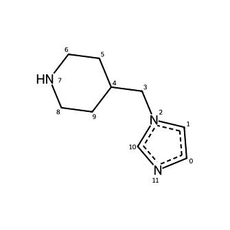 c1cn(CC2CCNCC2)cn1